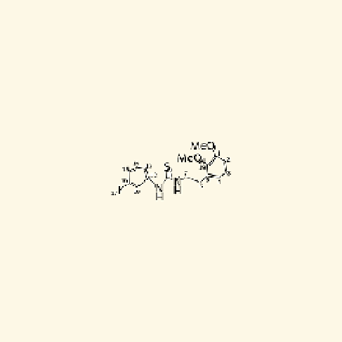 COc1cccc(CCNC(=S)Nc2cccc(I)c2)c1OC